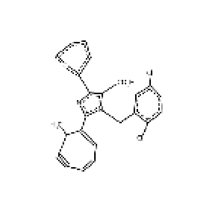 CC1C#CC=CC=C1c1nc(-c2ccccc2)c(C(=O)O)n1Cc1cc(Cl)ccc1Cl